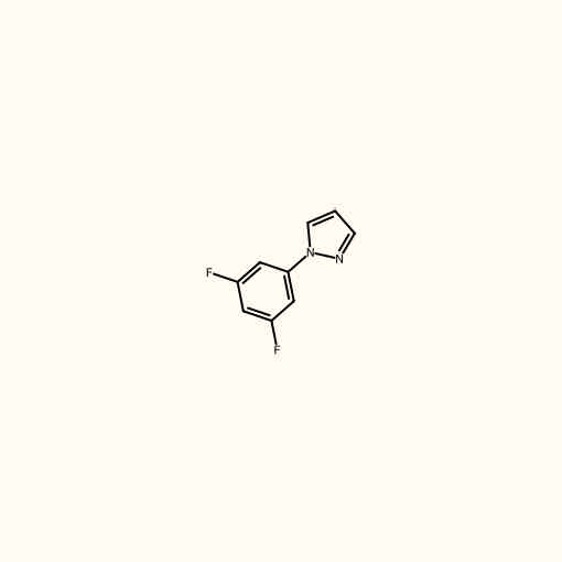 Fc1cc(F)cc(-n2c[c]cn2)c1